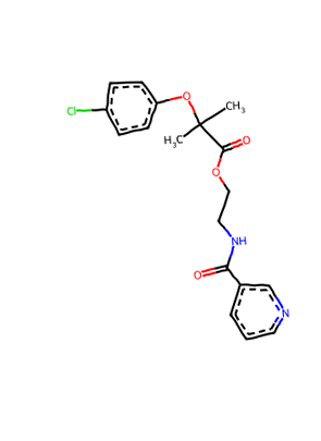 CC(C)(Oc1ccc(Cl)cc1)C(=O)OCCNC(=O)c1cccnc1